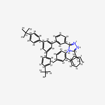 CCC(CC)c1nnc(-c2cccc(-c3cc(-c4ccc(C(C)(C)C)cc4)cc(-c4ccc(C(C)(C)C)cc4)c3)c2)n1-c1ccc(C)cc1C1CCCCC1